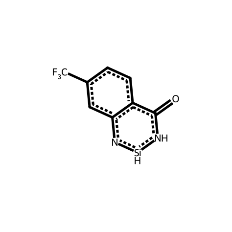 O=c1[nH][siH]nc2cc(C(F)(F)F)ccc12